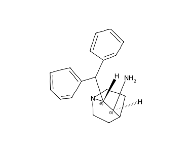 N[C@H]1C2CCN(CC2)[C@@H]1C(c1ccccc1)c1ccccc1